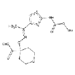 CC(C)COC(=O)C1(O/N=C(\C(=O)O)c2csc(NC(=O)OC(C)(C)C)n2)CCOCC1